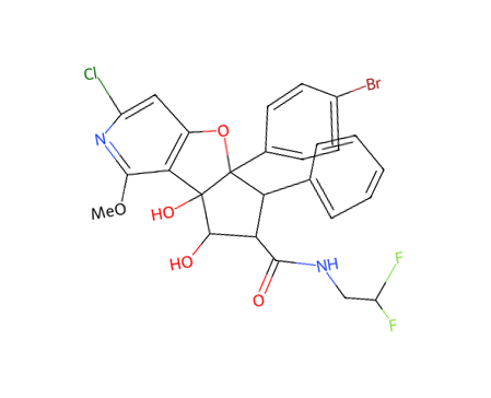 COc1nc(Cl)cc2c1C1(O)C(O)C(C(=O)NCC(F)F)C(c3ccccc3)C1(c1ccc(Br)cc1)O2